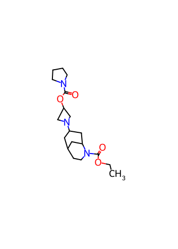 CCOC(=O)N1CCC2CC(N3CC(OC(=O)N4CCCC4)C3)CC1C2